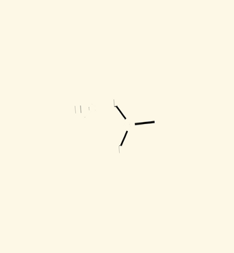 O.[I][K]([I])[I]